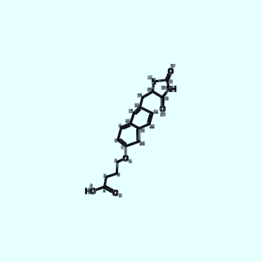 O=C(O)CCCOc1ccc2cc(CC3SC(=O)NC3=O)ccc2c1